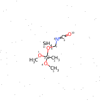 CO[Si](C)(OC)OCN=C=O.[SiH4]